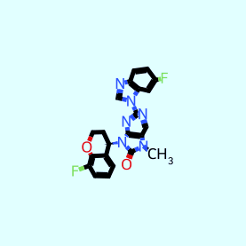 Cn1c(=O)n([C@@H]2CCOc3c(F)cccc32)c2nc(-n3cnc4ccc(F)cc43)ncc21